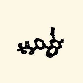 CS(=O)(=O)NC(=O)C1CCCN(c2ncnc3cc(F)c(C#N)cc23)C1